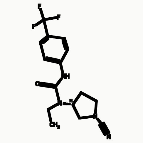 CCN(C(=O)Nc1ccc(C(F)(F)F)cc1)[C@@H]1CCN(C#N)C1